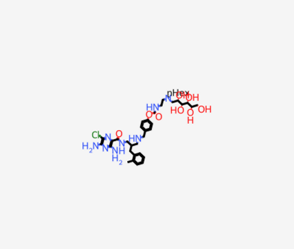 CCCCCCN(CCNC(=O)Oc1ccc(CNCC(CNC(=O)c2nc(Cl)c(N)nc2N)Cc2ccccc2C)cc1)C[C@H](O)[C@@H](O)[C@H](O)[C@H](O)CO